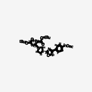 CCCCCCCCCCc1ccc(-c2noc([C@@H]3CCN(C(=NC(=O)OC(C)(C)C)NC(=O)OC(C)(C)C)C3)n2)cc1